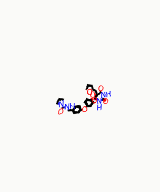 O=C1NC(=O)C(CC2CCCO2)(Oc2ccc(Oc3ccc(CNC(=O)N4CCC4)cc3)cc2)C(=O)N1